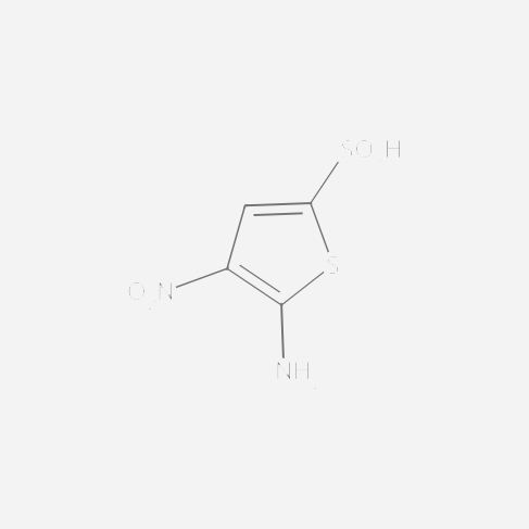 Nc1sc(S(=O)(=O)O)cc1[N+](=O)[O-]